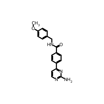 COc1ccc(CNC(=O)c2ccc(-c3ccnc(N)n3)cc2)cc1